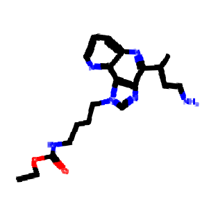 CCOC(=O)NCCCCn1cnc2c(C(C)CCN)nc3cccnc3c21